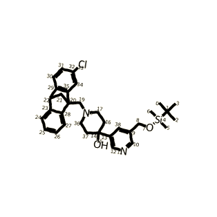 CC(C)(C)[Si](C)(C)OCc1cncc(C2(O)CCN(CC34CC(c5ccccc53)c3ccc(Cl)cc34)CC2)c1